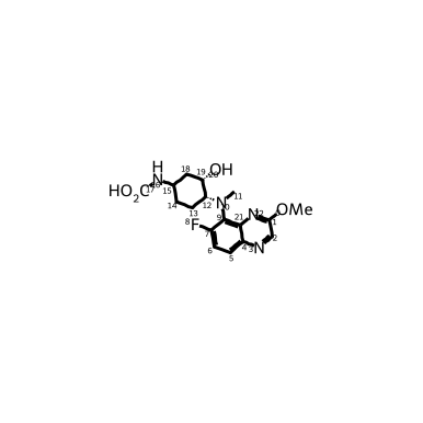 COc1cnc2ccc(F)c(N(C)[C@@H]3CCC(NC(=O)O)C[C@@H]3O)c2n1